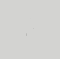 C=C(OC)P(C)(=O)O